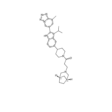 Cc1cc(-c2[nH]c3ccc(C4CCN(C(=O)CCN5C[C@@H]6CC[C@@H](C6)C5)CC4)cc3c2C(C)C)cn2nnnc12